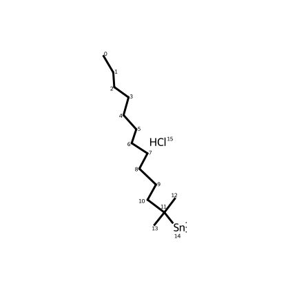 CCCCCCCCCCC[C](C)(C)[Sn].Cl